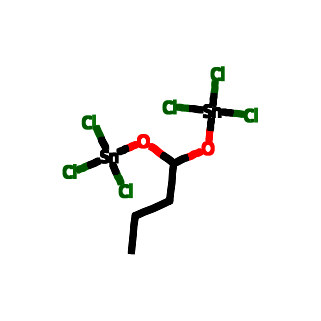 CCCC([O][Sn]([Cl])([Cl])[Cl])[O][Sn]([Cl])([Cl])[Cl]